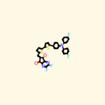 O=C1C(=Cc2ccc(-c3ccc(-c4ccc(N(c5ccc(F)cc5)c5ccc(F)cc5)cc4)s3)s2)C(=O)c2nc(F)c(F)nc21